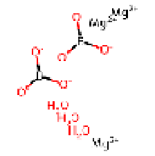 O.O.O.[Mg+2].[Mg+2].[Mg+2].[O-]B([O-])[O-].[O-]B([O-])[O-]